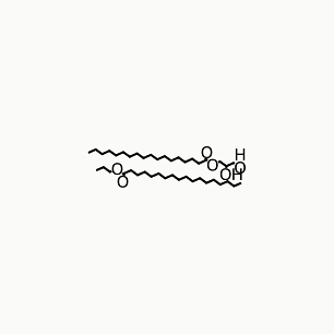 CCCCCCCCCCCCCCCCCC(=O)OCC(O)CO.CCCCCCCCCCCCCCCCCC(=O)OCCC